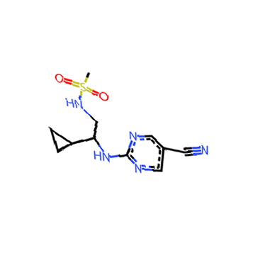 CS(=O)(=O)NCC(Nc1ncc(C#N)cn1)C1CC1